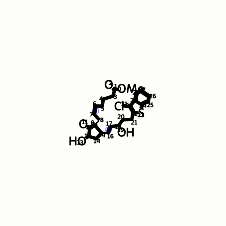 COC(=O)CCC/C=C\C[C@H]1C(=O)C(O)C[C@@H]1/C=C/C(O)CCc1sc2ccccc2c1Cl